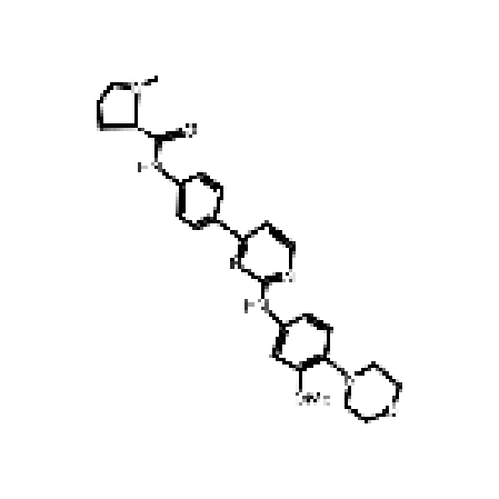 COc1cc(Nc2nccc(-c3ccc(NC(=O)[C@H]4CCCN4C)cc3)n2)ccc1N1CCOCC1